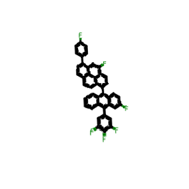 Fc1ccc(-c2ccc3ccc4c(-c5c6ccccc6c(-c6cc(F)c(F)c(F)c6)c6cc(F)ccc56)ccc5c(F)cc2c3c54)cc1